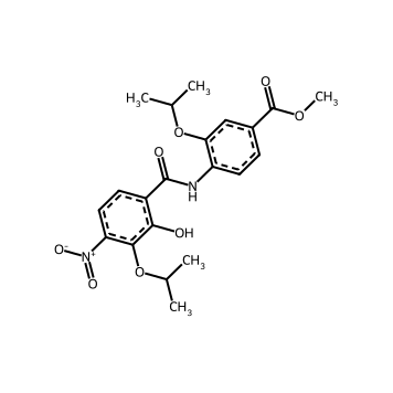 COC(=O)c1ccc(NC(=O)c2ccc([N+](=O)[O-])c(OC(C)C)c2O)c(OC(C)C)c1